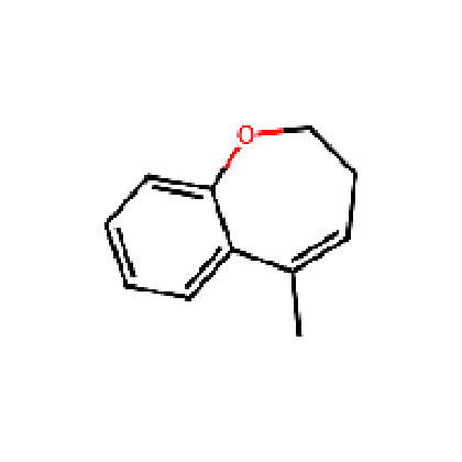 CC1=CCCOc2ccccc21